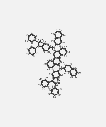 c1ccc(-c2oc3cc(N(c4ccc5ccccc5c4)c4cc5c6ccccc6c(N(c6ccc7ccccc7c6)c6ccc7c(-c8ccccc8)c(-c8ccccc8)oc7c6)cc5c5ccccc45)ccc3c2-c2ccccc2)cc1